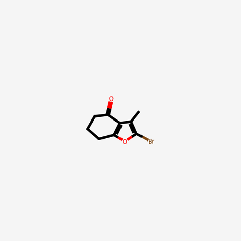 Cc1c(Br)oc2c1C(=O)CCC2